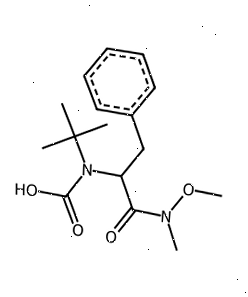 CON(C)C(=O)C(Cc1ccccc1)N(C(=O)O)C(C)(C)C